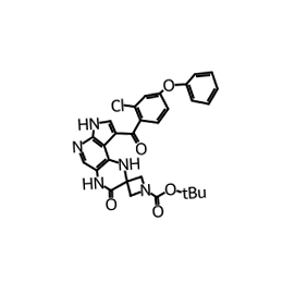 CC(C)(C)OC(=O)N1CC2(C1)Nc1c(cnc3[nH]cc(C(=O)c4ccc(Oc5ccccc5)cc4Cl)c13)NC2=O